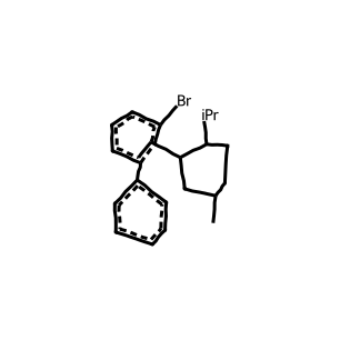 CC1CCC(C(C)C)C(c2c(Br)cccc2-c2ccccc2)C1